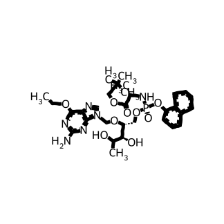 CCOc1nc(N)nc2c1ncn2CO[C@H](COP(=O)(N[C@@H](C)C(=O)OCC(C)(C)C)Oc1cccc2ccccc12)[C@@H](O)C(C)O